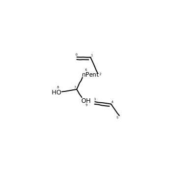 C=CC.C=CC.CCCCCC(O)O